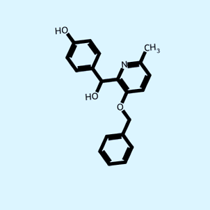 Cc1ccc(OCc2ccccc2)c(C(O)c2ccc(O)cc2)n1